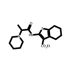 CCOC(=O)c1c(NC(=O)C(C)N2CCCCC2)sc2c1CCCC2